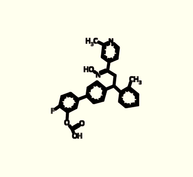 Cc1cc(C(CC(c2ccc(-c3ccc(F)c(OC(=O)O)c3)cc2)c2ccccc2C)=NO)ccn1